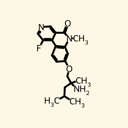 CC(C)CC(C)(N)COc1ccc2c3c(F)cncc3c(=O)n(C)c2c1